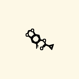 O=C(Oc1cc2c(cc1F)OCO2)C1CC1